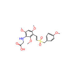 COc1ccc(CS(=O)(=O)C=Cc2c(OC)cc(OC)c(NCC(=O)O)c2OC)cc1